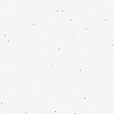 CCCCCC(I)CC(=O)c1ccc(OC)cc1